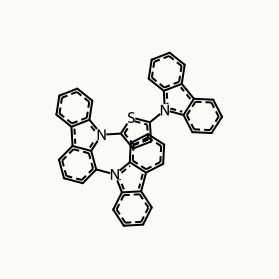 c1ccc2c(c1)c1ccccc1n2-c1ccc(-n2c3ccccc3c3cccc(-n4c5ccccc5c5ccccc54)c32)s1